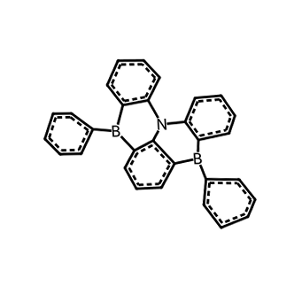 c1ccc(B2c3ccccc3N3c4ccccc4B(c4ccccc4)c4cccc2c43)cc1